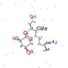 COC(CSC[C@@H](N)C(C)=O)[C@H](CCO)OC1OC[C@@H](O)CC1O